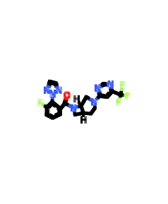 O=C(c1cccc(F)c1-n1nccn1)N1C[C@H]2CCN(c3cc(C(F)(F)F)ncn3)C[C@H]21